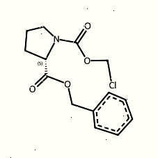 O=C(OCc1ccccc1)[C@@H]1CCCN1C(=O)OCCl